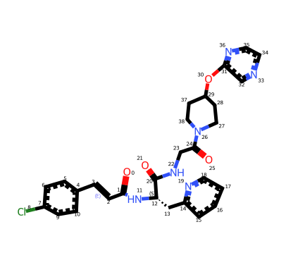 O=C(/C=C/c1ccc(Cl)cc1)N[C@@H](Cc1ccccn1)C(=O)NCC(=O)N1CCC(Oc2cnccn2)CC1